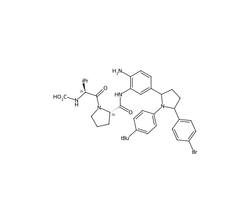 CC(C)[C@H](NC(=O)O)C(=O)N1CCC[C@H]1C(=O)Nc1cc(C2CCC(c3ccc(Br)cc3)N2c2ccc(C(C)(C)C)cc2)ccc1N